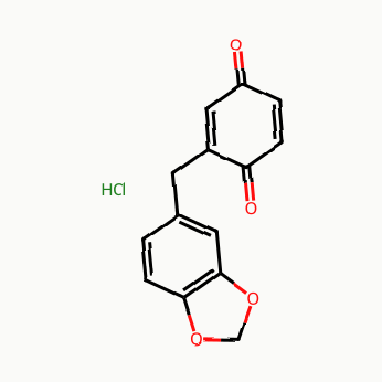 Cl.O=C1C=CC(=O)C(Cc2ccc3c(c2)OCO3)=C1